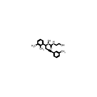 Cc1cccc(C#CCC(c2cccc(C)c2C)N(S)C(=O)NCCO)c1